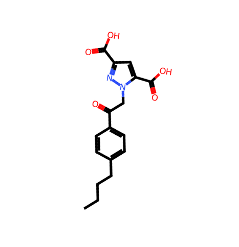 CCCCc1ccc(C(=O)Cn2nc(C(=O)O)cc2C(=O)O)cc1